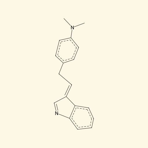 CN(C)c1ccc(CC=C2C=Nc3ccccc32)cc1